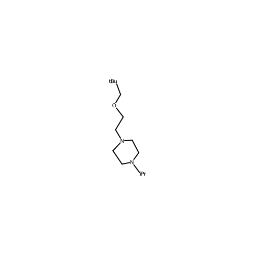 CC(C)N1CCN(CCOCC(C)(C)C)CC1